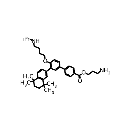 CC(C)NCCCCOc1ccc(-c2ccc(C(=O)OCCCN)cc2)cc1-c1ccc2c(c1)C(C)(C)CCC2(C)C